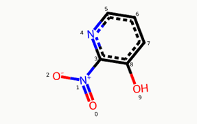 O=[N+]([O-])c1n[c]ccc1O